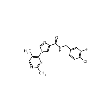 Cc1ncc(C)c(-n2cnc(C(=O)NCc3ccc(Cl)c(F)c3)c2)n1